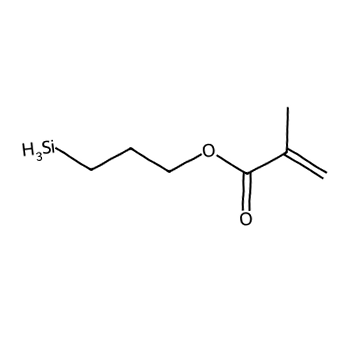 C=C(C)C(=O)OCCC[SiH3]